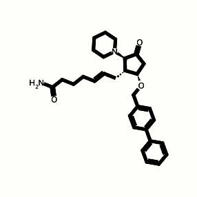 NC(=O)CCC/C=C/C[C@H]1[C@@H](OCc2ccc(-c3ccccc3)cc2)CC(=O)[C@@H]1N1CCCCC1